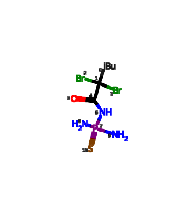 CCC(C)C(Br)(Br)C(=O)NP(N)(N)=S